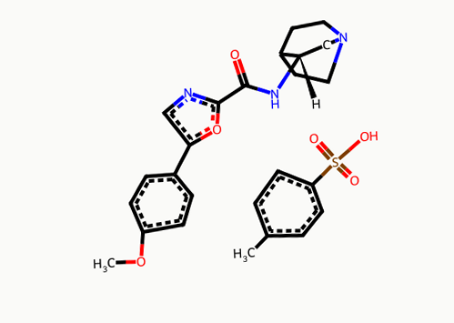 COc1ccc(-c2cnc(C(=O)N[C@H]3CN4CCC3CC4)o2)cc1.Cc1ccc(S(=O)(=O)O)cc1